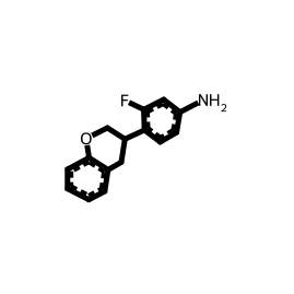 Nc1ccc(C2COc3ccccc3C2)c(F)c1